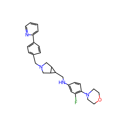 Fc1cc(NCC2C3CN(Cc4ccc(-c5ccccn5)cc4)CC23)ccc1N1CCOCC1